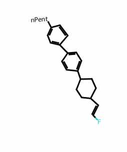 CCCCCc1ccc(-c2ccc(C3CCC(C=CF)CC3)cc2)cc1